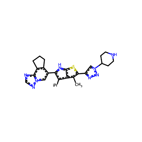 Cc1c(-c2cn(C3CCNCC3)nn2)sc2[nH]c(-c3cn4ncnc4c4c3CCC4)c(C(C)C)c12